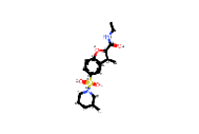 CCNC(=O)C1Oc2ccc(S(=O)(=O)N3CCCC(C)C3)cc2C1C